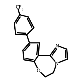 FC(F)(F)c1ccc(-c2ccc3c(c2)-c2nccn2CCO3)cc1